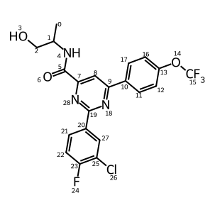 CC(CO)NC(=O)c1cc(-c2ccc(OC(F)(F)F)cc2)nc(-c2ccc(F)c(Cl)c2)n1